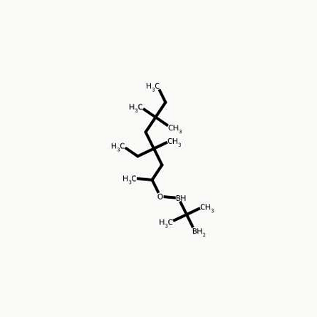 BC(C)(C)BOC(C)CC(C)(CC)CC(C)(C)CC